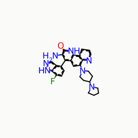 Nc1c(-c2ccc(F)c3[nH]ncc23)c2cc(N3CCC(N4CCCC4)CC3)c3ncccc3c2[nH]c1=O